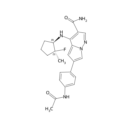 CC(=O)Nc1ccc(-c2cc3c(N[C@@H]4CCC[C@]4(C)F)c(C(N)=O)cnn3c2)cc1